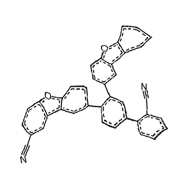 N#Cc1ccc2oc3ccc(-c4ccc(-c5ccccc5C#N)cc4-c4ccc5oc6ccccc6c5c4)cc3c2c1